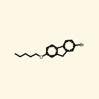 CCCCCOc1ccc2c(c1)Cc1cc(Br)ccc1-2